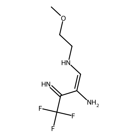 COCCN/C=C(/N)C(=N)C(F)(F)F